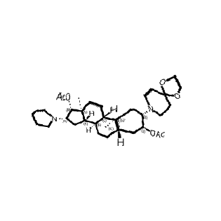 CC(=O)O[C@H]1C[C@@H]2CC[C@@H]3[C@H](CC[C@@]4(C)[C@H]3C[C@H](N3CCCC3)[C@@H]4OC(C)=O)[C@@]2(C)C[C@@H]1N1CCC2(CC1)OCCO2